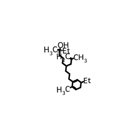 C=C(C)CC(CCCC1=CC(CC)CC=C1C)CCC[C@](C)(O)CC